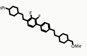 CCCC1CCC(CCc2ccc(-c3ccc(CCC4CCC(COC)CC4)cc3)c(F)c2F)CC1